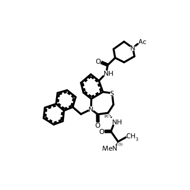 CN[C@@H](C)C(=O)N[C@H]1CSc2c(NC(=O)C3CCN(C(C)=O)CC3)cccc2N(Cc2cccc3ccccc23)C1=O